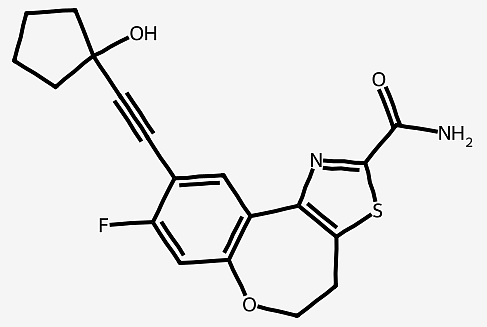 NC(=O)c1nc2c(s1)CCOc1cc(F)c(C#CC3(O)CCCC3)cc1-2